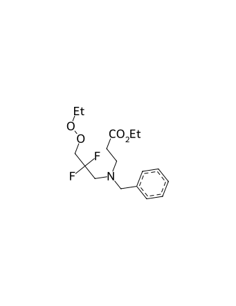 CCOOCC(F)(F)CN(CCC(=O)OCC)Cc1ccccc1